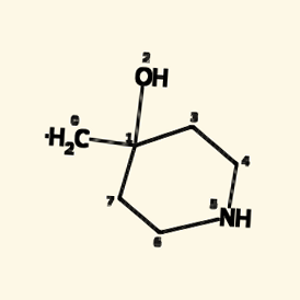 [CH2]C1(O)CCNCC1